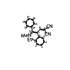 CCc1ccccc1/C(C=C(C#N)C#N)=C(\NC)c1ccccc1